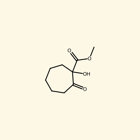 COC(=O)C1(O)CCCCCC1=O